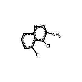 Nc1cnc2cccc(Cl)c2c1Cl